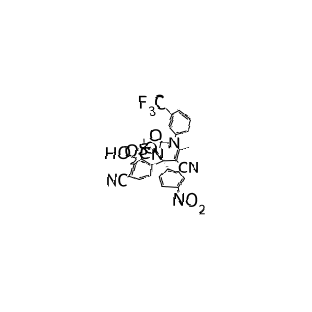 CC1=C(C#N)[C@@](c2ccc([N+](=O)[O-])cc2)(c2ccc(C#N)cc2S(C)(=O)=O)N(C(=O)O)C(=O)N1c1cccc(C(F)(F)F)c1